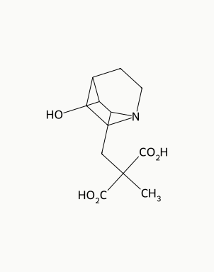 CC(CC1C(O)C2CCN1CC2)(C(=O)O)C(=O)O